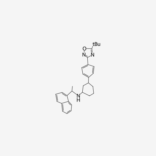 CC(NC1CCCC(c2ccc(-c3noc(C(C)(C)C)n3)cc2)C1)c1cccc2ccccc12